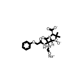 CC1(C)[C@H](C(=O)[O-])N2C(=O)[C@@](NC=O)(NC(=O)COc3ccccc3)[C@H]2[S+]1[O-].[Na+]